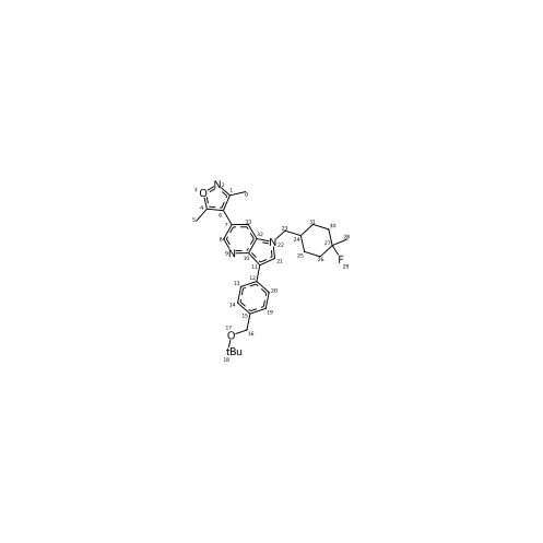 Cc1noc(C)c1-c1cnc2c(-c3ccc(COC(C)(C)C)cc3)cn(CC3CCC(C)(F)CC3)c2c1